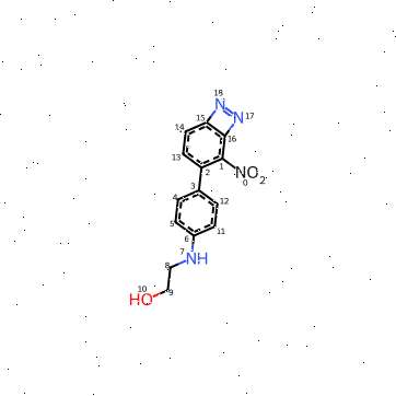 O=[N+]([O-])c1c(-c2ccc(NCCO)cc2)c[c]c2c1N=N2